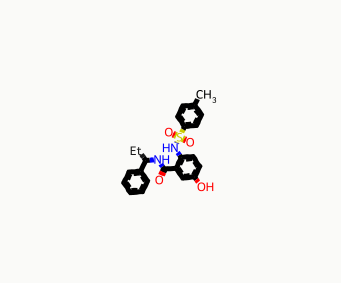 CCC(NC(=O)c1cc(O)ccc1NS(=O)(=O)c1ccc(C)cc1)c1ccccc1